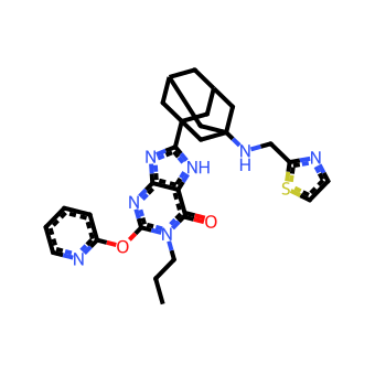 CCCn1c(Oc2ccccn2)nc2nc(C34CC5CC(CC(NCc6nccs6)(C5)C3)C4)[nH]c2c1=O